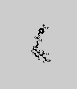 O=C(O)CC[C@@H](C(=O)O)N1C(=O)CC(=O)N([C@@H](CCCCNC(=O)OCc2ccc([N+](=O)[O-])cc2)C(=O)O)C1=O